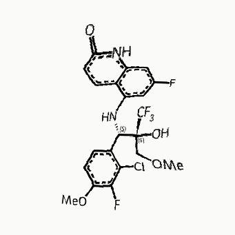 COC[C@@](O)([C@@H](Nc1cc(F)cc2[nH]c(=O)ccc12)c1ccc(OC)c(F)c1Cl)C(F)(F)F